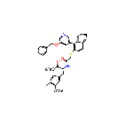 COC(=O)[C@H](Cc1ccc(C)c(OC)c1)NC(=O)CSc1ccc2ccccc2c1-c1cncc(OCc2ccccc2)c1